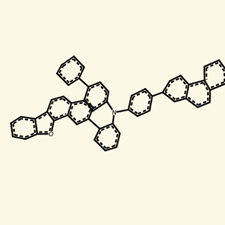 c1ccc(-c2ccc(N(c3ccc(-c4ccc5c(ccc6ccccc65)c4)cc3)c3ccccc3-c3ccc4ccc5c6ccccc6oc5c4c3)cc2)cc1